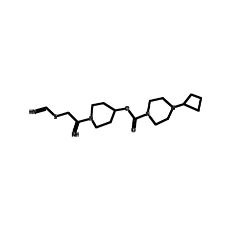 N=CSCC(=N)N1CCC(OC(=O)N2CCN(C3CCC3)CC2)CC1